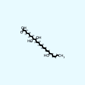 CC/C=C\C[C@H](O)/C=C/C=C/C=CC=CC(O)[C@@H](O)CCCCCC(=O)O